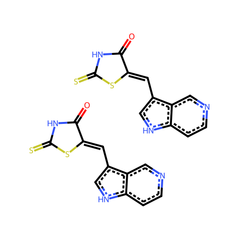 O=C1NC(=S)S/C1=C\c1c[nH]c2ccncc12.O=C1NC(=S)S/C1=C\c1c[nH]c2ccncc12